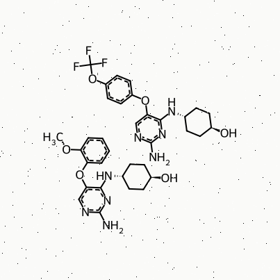 COc1ccccc1Oc1cnc(N)nc1N[C@H]1CC[C@H](O)CC1.Nc1ncc(Oc2ccc(OC(F)(F)F)cc2)c(N[C@H]2CC[C@H](O)CC2)n1